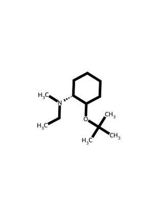 CCN(C)[C@@H]1CCCCC1OC(C)(C)C